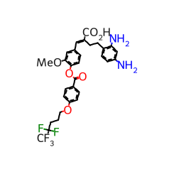 COc1cc(/C=C(\CCc2ccc(N)cc2N)C(=O)O)ccc1OC(=O)c1ccc(OCCCC(F)(F)C(F)(F)F)cc1